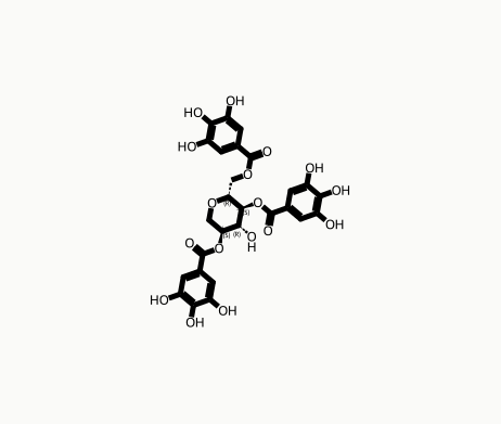 O=C(OC[C@H]1OC[C@H](OC(=O)c2cc(O)c(O)c(O)c2)[C@@H](O)[C@@H]1OC(=O)c1cc(O)c(O)c(O)c1)c1cc(O)c(O)c(O)c1